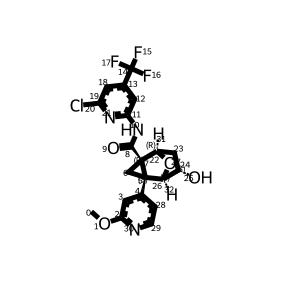 COc1cc([C@@]23C[C@]2(C(=O)Nc2cc(C(F)(F)F)cc(Cl)n2)[C@H]2C[C@H](O)[C@@H]3O2)ccn1